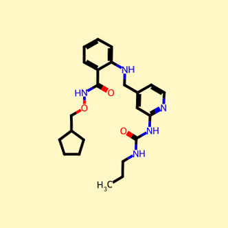 CCCNC(=O)Nc1cc(CNc2ccccc2C(=O)NOCC2CCCC2)ccn1